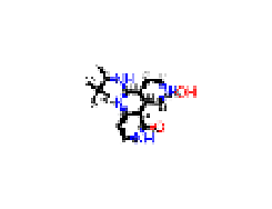 CC(Nc1nc2cc[nH]c(=O)c2c2c[n+](O)ccc12)C(C)(C)C